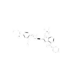 N[S+]([O-])c1ccc(NCC#Cc2cc3c(NC4CCCCC4)cccc3n2CC(F)(F)F)c(OCF)c1